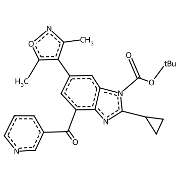 Cc1noc(C)c1-c1cc(C(=O)c2cccnc2)c2nc(C3CC3)n(C(=O)OC(C)(C)C)c2c1